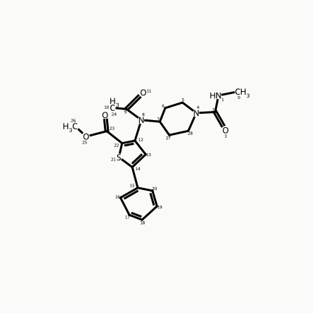 CNC(=O)N1CCC(N(C(C)=O)c2cc(-c3ccccc3)sc2C(=O)OC)CC1